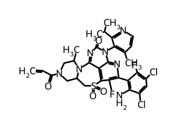 C=CC(=O)N1CC(C)N2c3nc(=O)n(-c4c(C)ccnc4C(C)C)c4nc(-c5c(N)c(Cl)cc(Cl)c5F)c(F)c(c34)S(=O)(=O)CC2C1